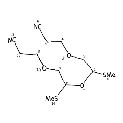 CSC(COCCC#N)OC(COCCC#N)SC